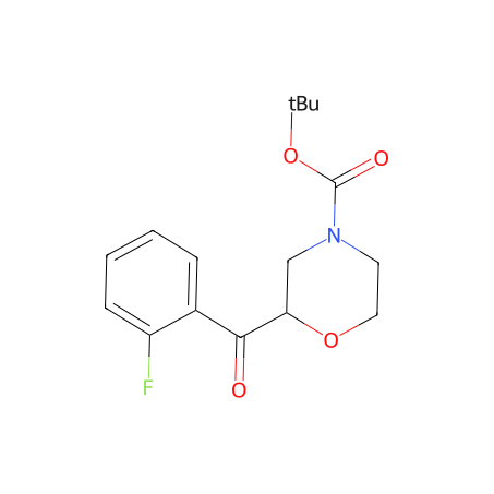 CC(C)(C)OC(=O)N1CCOC(C(=O)c2ccccc2F)C1